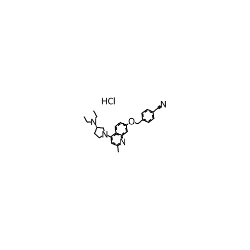 CCN(CC)[C@@H]1CCN(c2cc(C)nc3cc(OCc4ccc(C#N)cc4)ccc23)C1.Cl